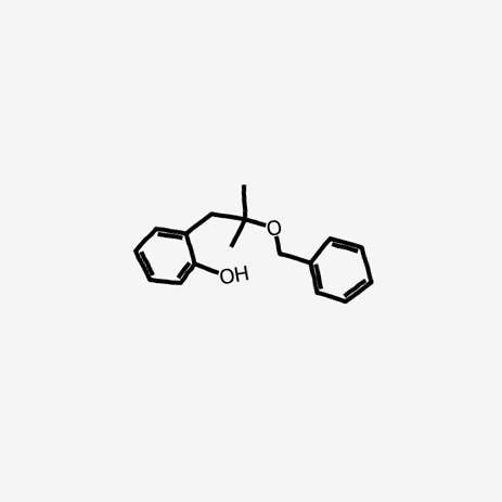 CC(C)(Cc1ccccc1O)OCc1ccccc1